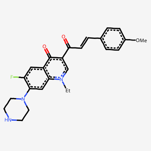 CCn1cc(C(=O)C=Cc2ccc(OC)cc2)c(=O)c2cc(F)c(N3CCNCC3)cc21